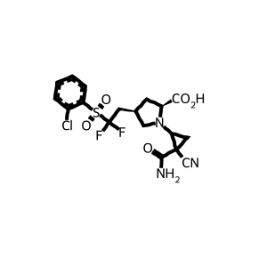 N#CC1(C(N)=O)CC1N1C[C@@H](CC(F)(F)S(=O)(=O)c2ccccc2Cl)C[C@H]1C(=O)O